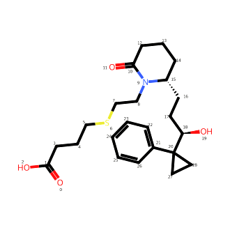 O=C(O)CCCSCCN1C(=O)CCC[C@@H]1CC[C@@H](O)C1(c2ccccc2)CC1